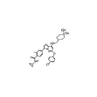 Cc1cc(-c2cnc3c(NCC4CCS(O)(O)CC4)cc(Oc4ccc(Cl)cc4)nn23)ccc1C(=O)NC1CC1